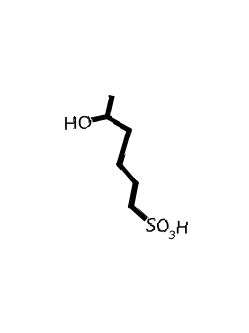 CC(O)CCCCS(=O)(=O)O